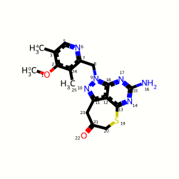 COc1c(C)cnc(Cn2nc3c4c(nc(N)nc42)SCC(=O)C3)c1C